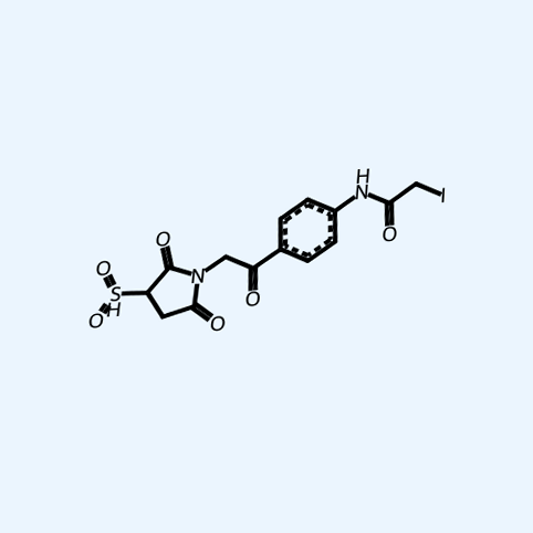 O=C(CI)Nc1ccc(C(=O)CN2C(=O)CC([SH](=O)=O)C2=O)cc1